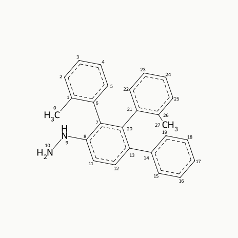 Cc1ccccc1-c1c(NN)ccc(-c2ccccc2)c1-c1ccccc1C